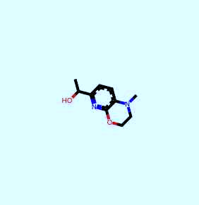 CC(O)c1ccc2c(n1)OCCN2C